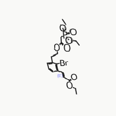 CCOC(=O)/C=C/c1cccc(CCOC(=O)CP(=O)(OCC)OCC)c1Br